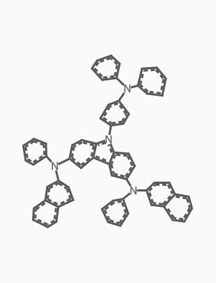 c1ccc(N(c2ccccc2)c2ccc(-n3c4ccc(N(c5ccccc5)c5ccc6ccccc6c5)cc4c4cc(N(c5ccccc5)c5ccc6ccccc6c5)ccc43)cc2)cc1